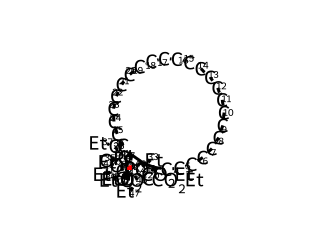 CCOC(=O)C1(C(=O)OCC)CCCCCCCCCCCCCCCCCCCCCCCCC(P(=O)(OCC)OCC)(P(=O)(OCC)OCC)C1(C(=O)OCC)P(=O)(OCC)OCC